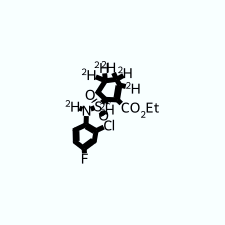 [2H]C1=C(C(=O)OCC)[C@]([2H])(S(=O)(=O)N([2H])c2ccc(F)cc2Cl)CC([2H])([2H])C1([2H])[2H]